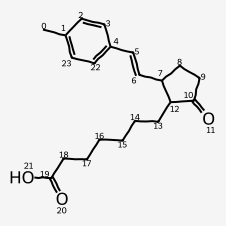 Cc1ccc(C=CC2CCC(=O)C2CCCCCCC(=O)O)cc1